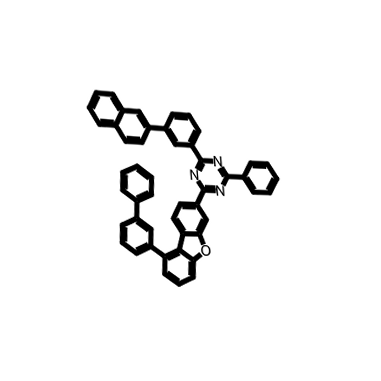 c1ccc(-c2cccc(-c3cccc4oc5cc(-c6nc(-c7ccccc7)nc(-c7cccc(-c8ccc9ccccc9c8)c7)n6)ccc5c34)c2)cc1